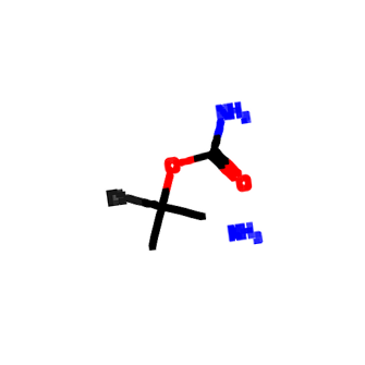 CCC(C)(C)OC(N)=O.N